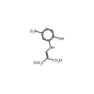 CCOC(=O)C(=CNc1cc([N+](=O)[O-])ccc1O)C(=O)OCC